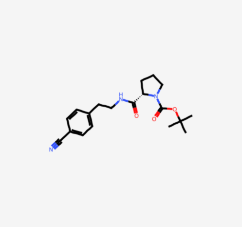 CC(C)(C)OC(=O)N1CCC[C@H]1C(=O)NCCc1ccc(C#N)cc1